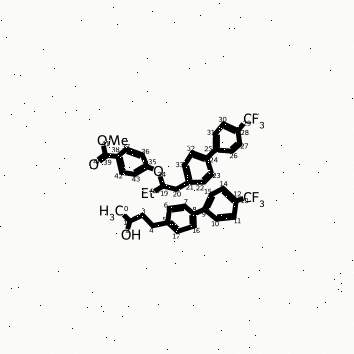 CC(O)CCc1ccc(-c2ccc(C(F)(F)F)cc2)cc1.CCC(Cc1ccc(-c2ccc(C(F)(F)F)cc2)cc1)Oc1ccc(C(=O)OC)cc1